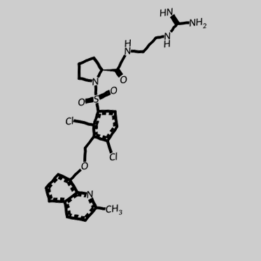 Cc1ccc2cccc(OCc3c(Cl)ccc(S(=O)(=O)N4CCC[C@H]4C(=O)NCCNC(=N)N)c3Cl)c2n1